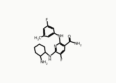 Cc1cc(F)cc(Nc2nc(NC3CCCCC3N)c(F)cc2C(N)=O)c1